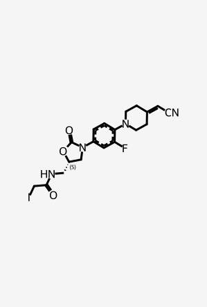 N#CC=C1CCN(c2ccc(N3C[C@H](CNC(=O)CI)OC3=O)cc2F)CC1